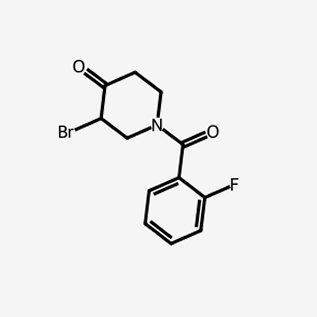 O=C1CCN(C(=O)c2ccccc2F)CC1Br